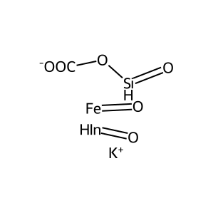 O=[SiH]OC(=O)[O-].[K+].[O]=[Fe].[O]=[InH]